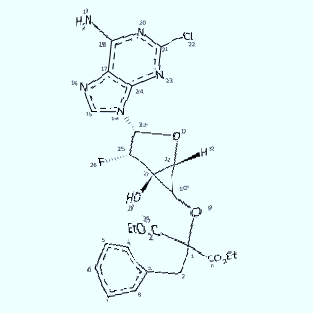 CCOC(=O)C(Cc1ccccc1)(OC1[C@H]2O[C@@H](n3cnc4c(N)nc(Cl)nc43)[C@@H](F)[C@@]12O)C(=O)OCC